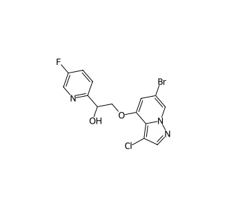 OC(COc1cc(Br)cn2ncc(Cl)c12)c1ccc(F)cn1